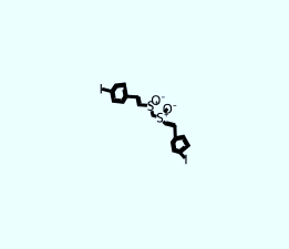 [O-][S+](/C=C/c1ccc(I)cc1)C[S+]([O-])/C=C/c1ccc(I)cc1